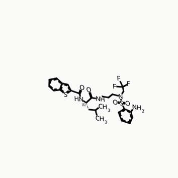 CC(C)C[C@H](NC(=O)c1cc2ccccc2s1)C(=O)NCCCN(CC(F)(F)F)S(=O)(=O)c1ccccc1N